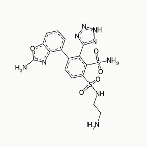 NCCNS(=O)(=O)c1ccc(-c2cccc3oc(N)nc23)c(-c2nn[nH]n2)c1S(N)(=O)=O